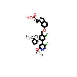 COc1cc(-c2cc(F)c(COc3ccc4c(c3)[C@]3(CC4)C[C@H]3C(=O)O)cc2[C@@H]2CCCC2(C)C)c(F)cn1